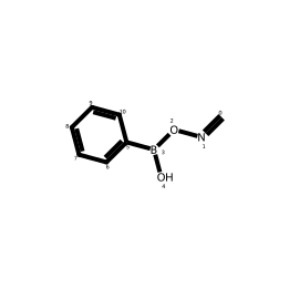 C=NOB(O)c1ccccc1